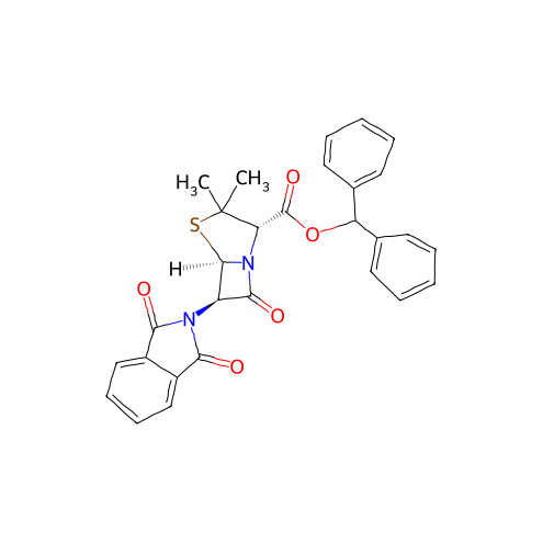 CC1(C)S[C@@H]2[C@H](N3C(=O)c4ccccc4C3=O)C(=O)N2[C@H]1C(=O)OC(c1ccccc1)c1ccccc1